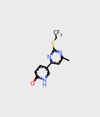 Cc1cc(-c2ccc(=O)[nH]c2)nc(SCC(F)(F)F)n1